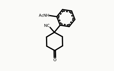 CC(=O)Nc1ccccc1C1(C#N)CCC(=O)CC1